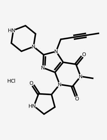 CC#CCn1c(N2CCNCC2)nc2c1c(=O)n(C)c(=O)n2C1CCNC1=O.Cl